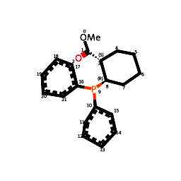 COC(=O)[C@@H]1CCCC[C@H]1P(c1ccccc1)c1ccccc1